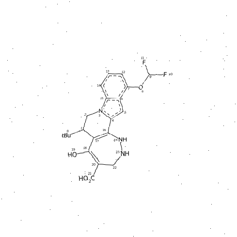 CC(C)(C)C1Cn2c(cc3c(OC(F)F)cccc32)C2=C1C(O)=C(C(=O)O)CNN2